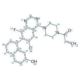 C=CC(=O)N1CCN(c2ncnc3c(F)c(-c4cccc5ccc(O)cc45)c(Cl)cc23)CC1